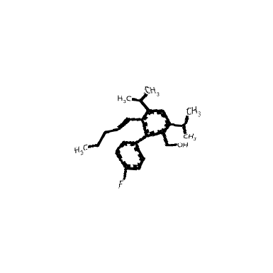 CCCC=Cc1c(C(C)C)cc(C(C)C)c(CO)c1-c1ccc(F)cc1